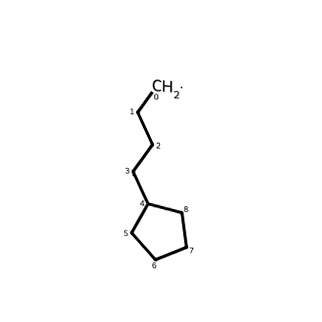 [CH2]CC[CH]C1CCCC1